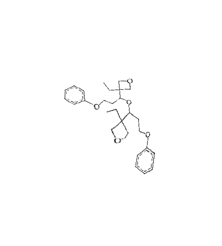 CCC1(C(CCOc2ccccc2)OC(CCOc2ccccc2)C2(CC)COC2)COC1